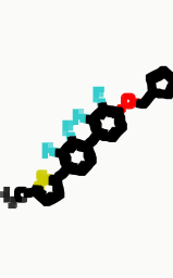 Cc1ccc(-c2ccc(-c3ccc(OCC4C=CCC4)c(F)c3F)c(F)c2F)s1